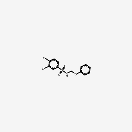 O=S(=O)(NCOc1ccccc1)c1ccc(Cl)c(Cl)c1